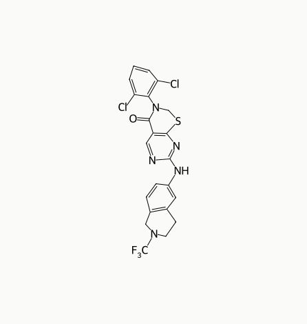 O=C1c2cnc(Nc3ccc4c(c3)CCN(C(F)(F)F)C4)nc2SCN1c1c(Cl)cccc1Cl